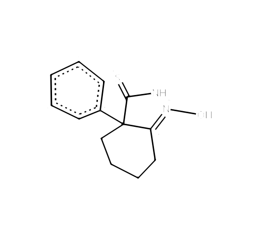 NC(=S)C1(c2ccccc2)CCCCC1=NO